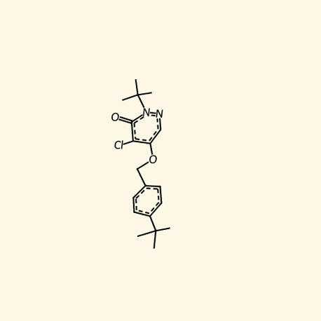 CC(C)(C)c1ccc(COc2cnn(C(C)(C)C)c(=O)c2Cl)cc1